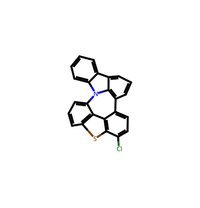 Clc1ccc2c3cccc4c5ccccc5n(c5cccc6sc1c2c65)c34